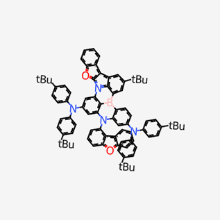 CC(C)(C)c1ccc(N(c2ccc(C(C)(C)C)cc2)c2ccc3c(c2)N(c2cccc4oc5ccccc5c24)c2cc(N(c4ccc(C(C)(C)C)cc4)c4ccc(C(C)(C)C)cc4)cc4c2B3c2cc(C(C)(C)C)cc3c5c6ccccc6oc5n-4c23)cc1